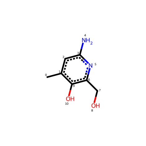 Cc1cc(N)nc(CO)c1O